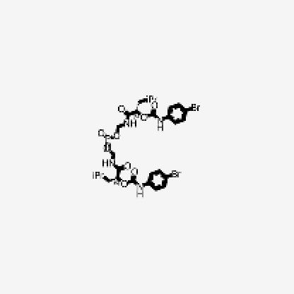 CC(C)C[C@H](OC(=O)Nc1ccc(Br)cc1)C(=O)NCO[PH](=O)OCNC(=O)[C@H](CC(C)C)OC(=O)Nc1ccc(Br)cc1